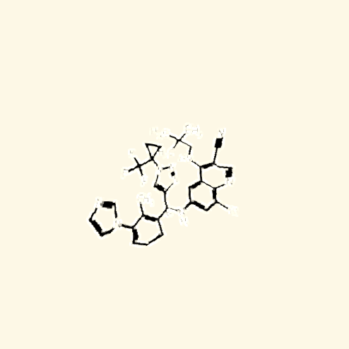 Cc1c([C@H](Nc2cc(Cl)c3ncc(C#N)c(NCC(C)(C)C)c3c2)c2cn(C3(C(F)(F)F)CC3)nn2)cccc1-n1ccnc1